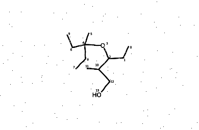 CCC(OC(C)(CC)CC)C(C)CO